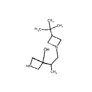 CC(CN1CC(C(C)(C)C)C1)C1(O)CNC1